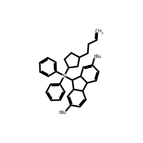 C=CCCC1CCC([Si](c2ccccc2)(c2ccccc2)C2C3C=C(C(C)(C)C)C=CC3C3C=CC(C(C)(C)C)=CC32)C1